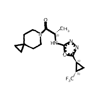 C[C@H](Nc1nnc([C@H]2C[C@@H]2C(F)(F)F)o1)C(=O)N1CCC2(CC1)CC2